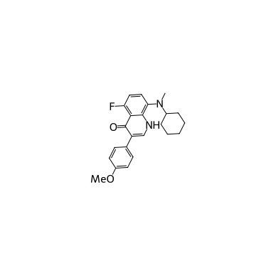 COc1ccc(-c2c[nH]c3c(N(C)C4CCCCC4)ccc(F)c3c2=O)cc1